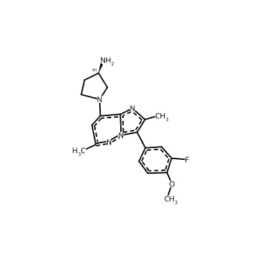 COc1ccc(-c2c(C)nc3c(N4CC[C@@H](N)C4)cc(C)nn23)cc1F